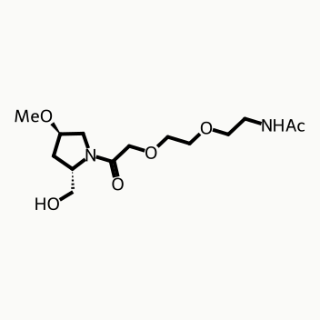 CO[C@@H]1C[C@@H](CO)N(C(=O)COCCOCCNC(C)=O)C1